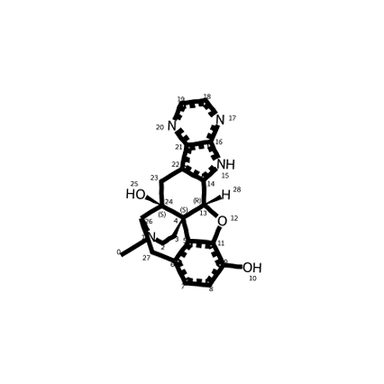 CN1CC[C@]23c4c5ccc(O)c4O[C@H]2c2[nH]c4nccnc4c2C[C@@]3(O)C1C5